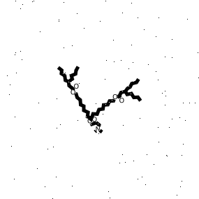 CCCCCC(CCCCC)CC(=O)OCCCCCCCCC1(CCCCCCCCOC(=O)CC(CCCCC)CCCCC)OCC(CN(C)C)O1